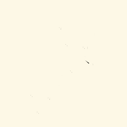 CC(C)[C@H](Nc1ncnc2cccc(F)c12)c1cc2cccc(-c3cnc(N)nc3)c2c(=O)n1-c1ccccc1